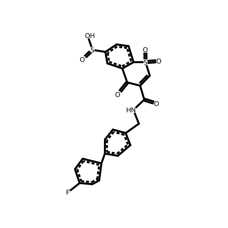 O=C(NCc1ccc(-c2ccc(F)cc2)cc1)C1=CS(=O)(=O)c2ccc(S(=O)O)cc2C1=O